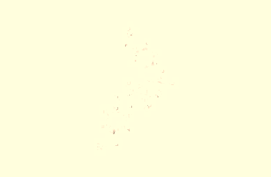 CC(C)(Cc1ccc(CBr)cc1)O[PH](=O)OC(C)(C)Cc1ccc(CBr)cc1